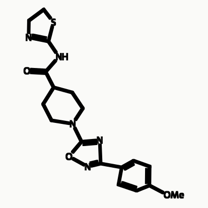 COc1ccc(-c2noc(N3CCC(C(=O)NC4=NCCS4)CC3)n2)cc1